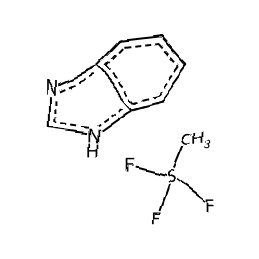 CS(F)(F)F.c1ccc2[nH]cnc2c1